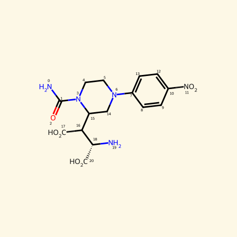 NC(=O)N1CCN(c2ccc([N+](=O)[O-])cc2)CC1C(C(=O)O)[C@H](N)C(=O)O